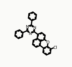 Clc1cccc2c1Oc1ccc(-c3nc(-c4ccccc4)nc(-c4ccccc4)n3)c3cccc-2c13